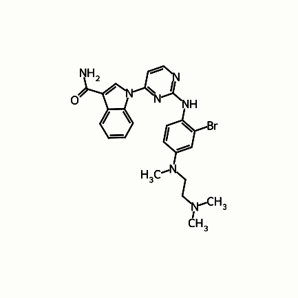 CN(C)CCN(C)c1ccc(Nc2nccc(-n3cc(C(N)=O)c4ccccc43)n2)c(Br)c1